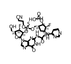 CC(C)C(=O)Nc1nc2c(ncn2[C@@H]2O[C@H](CO)[C@@H](F)[C@H]2O[P@](=S)(OCCC#N)OC[C@H]2C[C@@H](Nc3ccncn3)[C@H](F)[C@@H]2O[PH](=O)O)c(=O)[nH]1